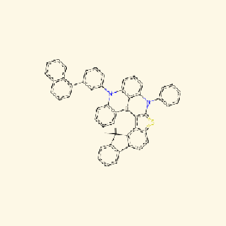 CC1(C)c2ccccc2-c2ccc3sc4c(c3c21)B1c2ccccc2N(c2cccc(-c3cccc5ccccc35)c2)c2cccc(c21)N4c1ccccc1